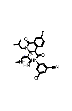 CN/C=C(\C=N)[C@@H]1C(C(=O)Nc2cc(Cl)cc(C#N)c2)c2ccc(F)cc2C(=O)N1CC(C)C